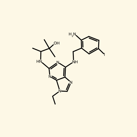 CCn1cnc2c(NCc3cc(I)ccc3N)nc(NC(C)C(C)(C)O)nc21